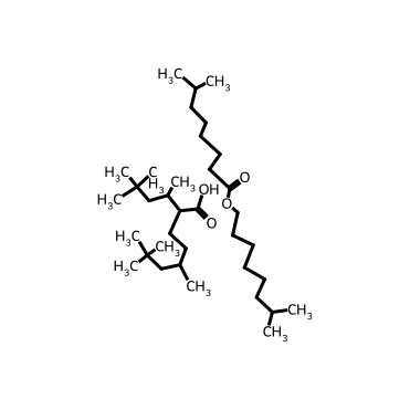 CC(C)CCCCCCOC(=O)CCCCCC(C)C.CC(CCC(C(=O)O)C(C)CC(C)(C)C)CC(C)(C)C